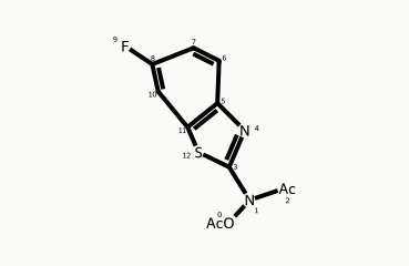 CC(=O)ON(C(C)=O)c1nc2ccc(F)cc2s1